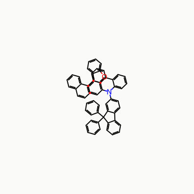 c1ccc(C2(c3ccccc3)c3ccccc3-c3ccc(N(c4ccccc4-c4cccc(-c5cccc6ccccc56)c4)c4cccc5c4oc4ccccc45)cc32)cc1